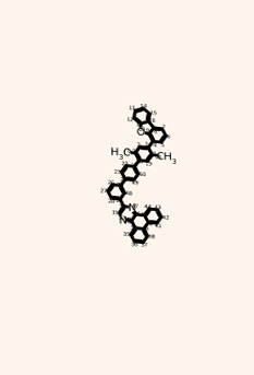 Cc1cc(-c2cccc3c2oc2ccccc23)c(C)cc1-c1ccc(-c2cccc(-c3cnc4c5ccccc5c5ccccc5c4n3)c2)cc1